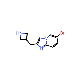 Brc1ccc2nc(CC3CNC3)cn2c1